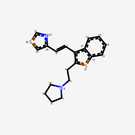 C(=Cc1c(CCN2CCCC2)sc2ccccc12)c1cscn1